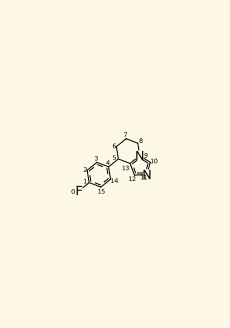 Fc1ccc(C2CCCn3cncc32)cc1